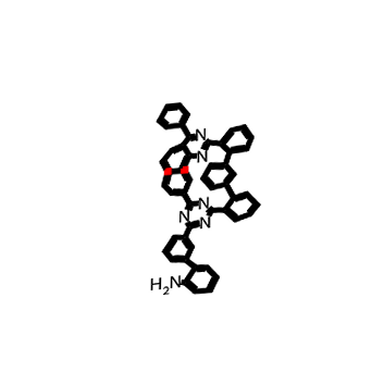 Nc1ccccc1-c1cccc(-c2nc(-c3ccccc3)nc(-c3ccccc3-c3cccc(-c4ccccc4-c4nc(-c5ccccc5)c5ccccc5n4)c3)n2)c1